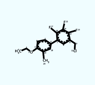 CCOc1ccc(-c2cc(CCl)c(F)c(F)c2F)cc1C